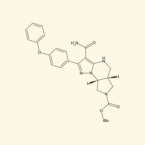 CC(C)(C)OC(=O)N1C[C@H]2CNc3c(C(N)=O)c(-c4ccc(Oc5ccccc5)cc4)nn3[C@H]2C1